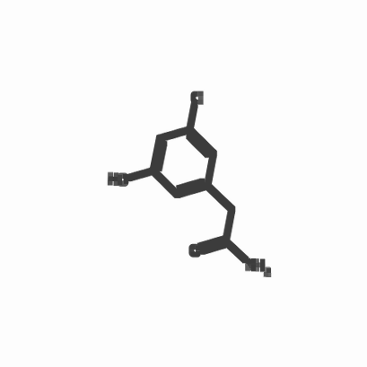 NC(=O)Cc1cc(O)cc(Cl)c1